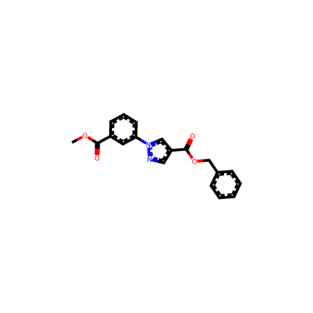 COC(=O)c1cccc(-n2cc(C(=O)OCc3ccccc3)cn2)c1